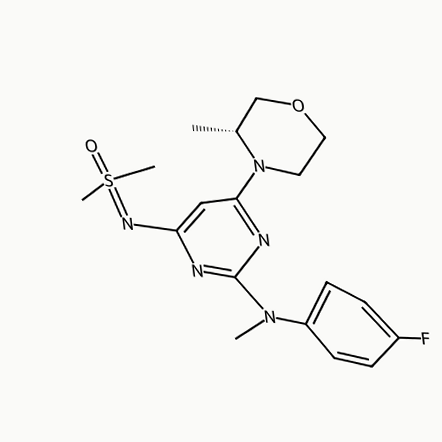 C[C@@H]1COCCN1c1cc(N=S(C)(C)=O)nc(N(C)c2ccc(F)cc2)n1